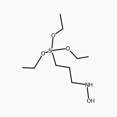 CCO[Si](CCCNO)(OCC)OCC